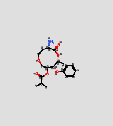 CC(C)C(=O)O[C@H]1COCC[C@H](N)C(=O)O[C@@H](C)[C@@H]1Oc1ccccc1